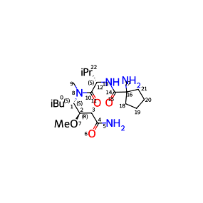 CC[C@H](C)[C@@H]([C@@H](CC(N)=O)OC)N(C)C(=O)[C@@H](NC(=O)C1(N)CCCC1)C(C)C